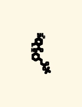 CC(C)(C)OC(=O)CCC1CCC[C@@H](NC(=O)c2ccc(N)cc2F)C1